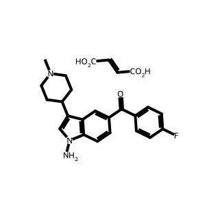 CN1CCC(c2cn(N)c3ccc(C(=O)c4ccc(F)cc4)cc23)CC1.O=C(O)C=CC(=O)O